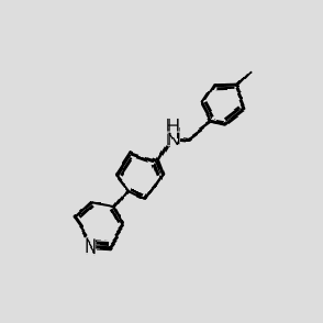 Cc1ccc(CNc2ccc(-c3ccncc3)cc2)cc1